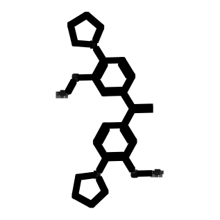 C=C(c1ccc(N2CCCC2)c(OCCC)c1)c1ccc(N2CCCC2)c(OCCC)c1